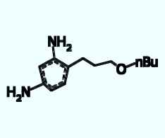 CCCCOCCCc1ccc(N)cc1N